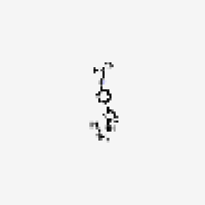 N#CN/C=N/c1ccc(-c2coc(NC(=N)N)n2)cc1